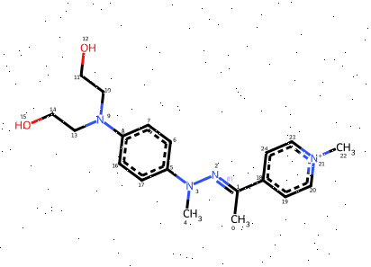 C/C(=N\N(C)c1ccc(N(CCO)CCO)cc1)c1cc[n+](C)cc1